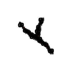 C=CC(=O)OCCCCCCOc1ccc(OCC2CCC(OC(=O)c3ccc4c(c3)nc(Oc3ccc(C(=O)Oc5ccc(OCCCCCCOC(=O)C=C)cc5)cc3)c3cc(C(=O)OC5CCC(COc6ccc(OCCCCCCOC(=O)C=C)cc6)CC5)ccc34)CC2)cc1